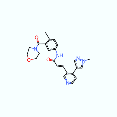 Cc1ccc(NC(=O)/C=C/c2cnccc2-c2cnn(C)c2)cc1C(=O)N1CCOCC1